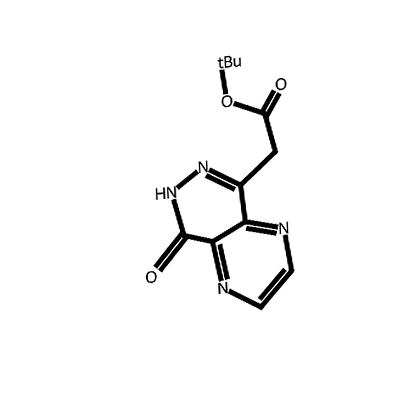 CC(C)(C)OC(=O)Cc1n[nH]c(=O)c2nccnc12